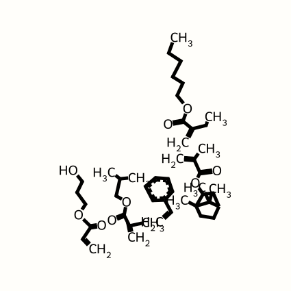 C=C(C)C(=O)OC1CC2CCC1(C)C2(C)C.C=C(C)C(=O)OCC(C)C.C=C(CC)C(=O)OCCCCCC.C=CC(=O)OCCCO.C=Cc1ccccc1